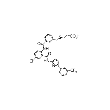 O=C(O)CCSCc1cccc(C(=O)Nc2ccc(Cl)cc2C(=O)Nc2ccn(-c3cccc(C(F)(F)F)c3)n2)c1